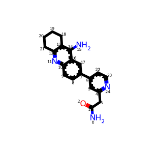 NC(=O)Cc1cc(-c2ccc3nc4c(c(N)c3c2)CCCC4)ccn1